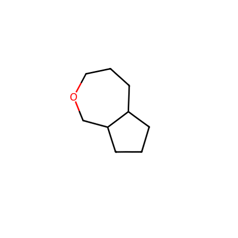 C1COCC2CCCC2C1